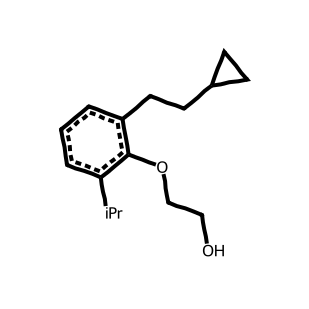 CC(C)c1cccc(CCC2CC2)c1OCCO